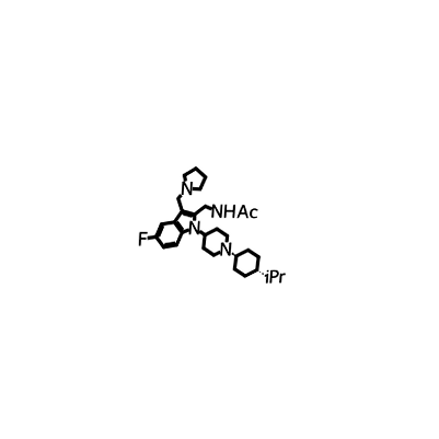 CC(=O)NCc1c(CN2CCCC2)c2cc(F)ccc2n1C1CCN([C@H]2CC[C@@H](C(C)C)CC2)CC1